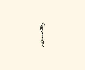 CCCOCCCCCCCN=C=O